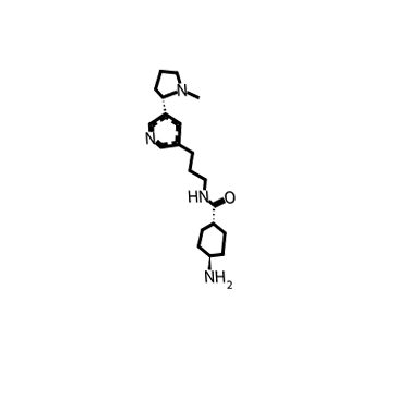 CN1CCC[C@H]1c1cncc(CCCNC(=O)[C@H]2CC[C@H](N)CC2)c1